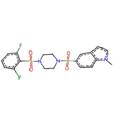 Cn1ccc2cc(S(=O)(=O)N3CCN(S(=O)(=O)c4c(F)cccc4F)CC3)ccc21